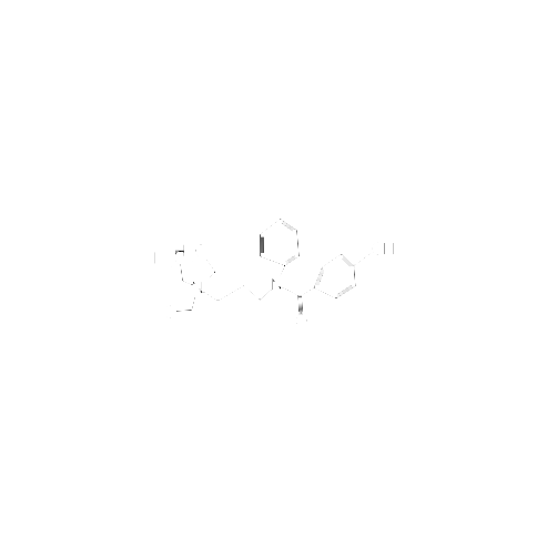 CC[N+](CC)(CC)CCCN(C(=O)c1ccc(C)cc1)c1ccccc1